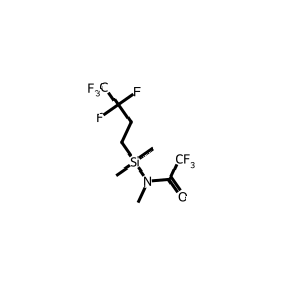 CN(C(=O)C(F)(F)F)[Si](C)(C)CCC(F)(F)C(F)(F)F